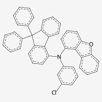 Clc1cccc(N(c2cccc3c2-c2ccccc2C3(c2ccccc2)c2ccccc2)c2cccc3oc4ccccc4c23)c1